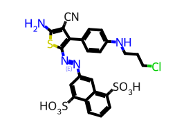 N#Cc1c(N)sc(/N=N/c2cc(S(=O)(=O)O)c3cccc(S(=O)(=O)O)c3c2)c1-c1ccc(NCCCCl)cc1